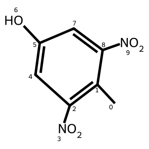 Cc1c([N+](=O)[O-])cc(O)cc1[N+](=O)[O-]